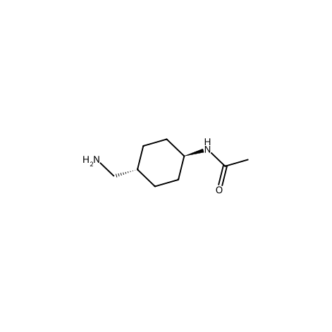 CC(=O)N[C@H]1CC[C@H](CN)CC1